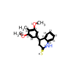 COc1cc(C2CC(=S)Nc3ccccc32)cc(OC)c1C